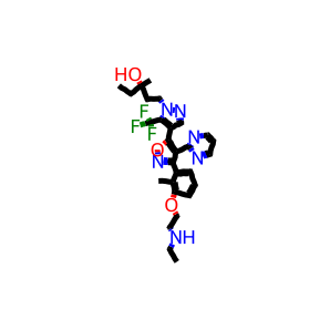 CCNCCOc1cccc(-c2noc(-c3cnn(CCC(C)(O)CC)c3C(F)(F)F)c2-c2ncccn2)c1C